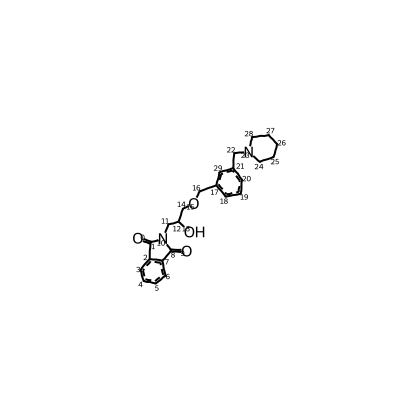 O=C1c2ccccc2C(=O)N1CC(O)COCc1cccc(CN2CCCCC2)c1